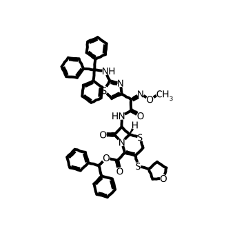 CO/N=C(\C(=O)NC1C(=O)N2C(C(=O)OC(c3ccccc3)c3ccccc3)=C(SC3CCOC3)CS[C@@H]12)c1csc(NC(c2ccccc2)(c2ccccc2)c2ccccc2)n1